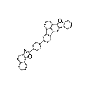 c1ccc2c(c1)ccc1nc(-c3ccc(-c4ccc5c(c4)-c4cccc6c4c-5cc4c5ccccc5oc64)cc3)oc12